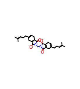 CC(C)=CCCC1=CCC2=C(C1)C(=O)N(CN1C(=O)C3=C(CC(CCC=C(C)C)=CC3)C1=O)C2=O